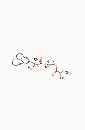 CCC(C)C(=O)OC1CC2CC1CC2C(=O)OC(C)(C)c1cc2c3c(cccc3c1)CC=C2